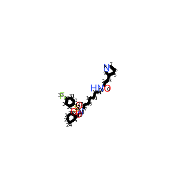 O=C(C=Cc1cccnc1)NCCCCCCCN(OC1CCCCC1)S(=O)(=O)c1ccc(F)cc1